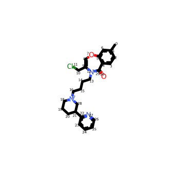 Cc1ccc2c(c1)OC=C(CCl)N(CCCCN1CCCC(c3ccccn3)C1)C2=O